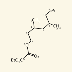 CCOC(=O)C(=O)OCCC(C)CC(C)CC(C)C